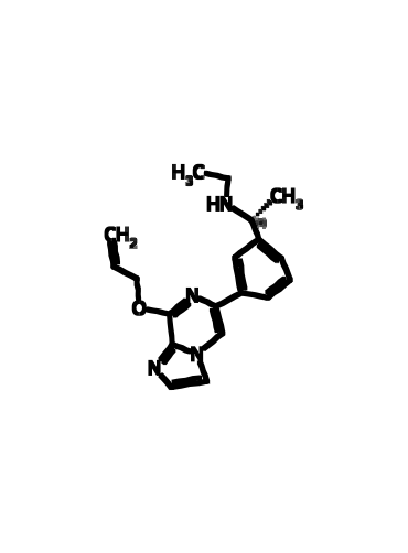 C=CCOc1nc(-c2cccc([C@@H](C)NCC)c2)cn2ccnc12